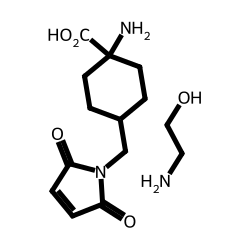 NC1(C(=O)O)CCC(CN2C(=O)C=CC2=O)CC1.NCCO